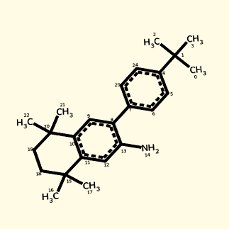 CC(C)(C)c1ccc(-c2cc3c(cc2N)C(C)(C)CCC3(C)C)cc1